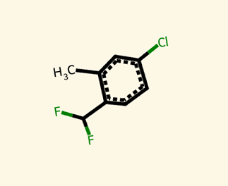 Cc1cc(Cl)ccc1C(F)F